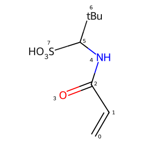 C=CC(=O)NC(C(C)(C)C)S(=O)(=O)O